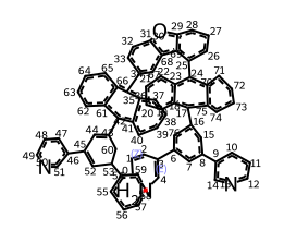 C/C=C\C(=C/N)c1cc(-c2cccnc2)cc(-c2c3ccccc3c(-c3cccc4oc5ccc(-c6c7ccccc7c(C7=CC(c8cccnc8)=CC(c8cccnc8)C7)c7ccccc67)cc5c34)c3ccccc23)c1